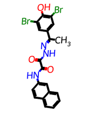 C/C(=N\NC(=O)C(=O)Nc1ccc2ccccc2c1)c1cc(Br)c(O)c(Br)c1